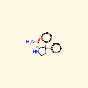 NC(=O)[C@H]1NCCC1(c1ccccc1)c1ccccc1